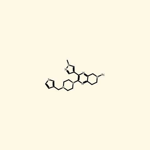 CC(=O)N1CCc2nc(N3CCN(Cc4ccsc4)CC3)c(-c3cnn(C)c3)nc2C1